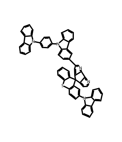 c1ccc2c(c1)Sc1ccc(-n3c4ccccc4c4ccccc43)cc1C21c2cccnc2-c2ncc(-c3ccc4c(c3)c3ccccc3n4-c3ccc(-n4c5ccccc5c5ccccc54)cc3)cc21